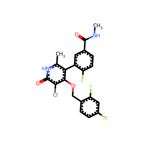 CNC(=O)c1ccc(F)c(-c2c(C)[nH]c(=O)c(Cl)c2OCc2ccc(F)cc2F)c1